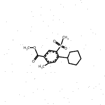 COC(=O)c1cc(S(C)(=O)=O)c(C2CCCCC2)cc1C